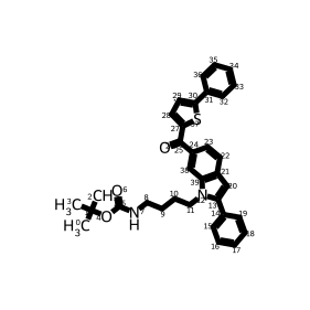 CC(C)(C)OC(=O)NCCCCn1c(-c2ccccc2)cc2ccc(C(=O)c3c[c]c(-c4ccccc4)s3)cc21